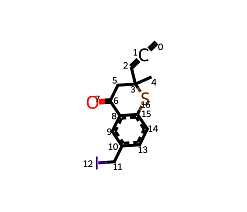 C=C=CC1(C)CC(=O)c2cc(CI)ccc2S1